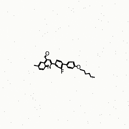 CCCCCCOc1ccc(-c2ccc(-c3cc(C=O)c4cc(C)ccc4n3)cc2F)cc1